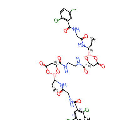 C/C(Cl)=C(\C=C(/C)Cl)C(=O)NCC(=O)NC(CC(C)C)B1OC(=O)C[C@H](C(=O)NCCNC(=O)[C@H]2CC(=O)OB([C@H](CC(C)C)NC(=O)CNC(=O)c3cc(Cl)ccc3Cl)O2)O1